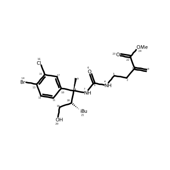 C=C(CCNC(=O)N[C@@](C)(c1ccc(Br)c(Cl)c1)C(CO)[C@@H](C)CC)C(=O)OC